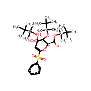 CC(C)(C)[Si](C)(C)OC(O)[C@H]1OC(S(=O)(=O)c2ccccc2)=C[C@](O)(O[Si](C)(C)C(C)(C)C)[C@@]1(O)O[Si](C)(C)C(C)(C)C